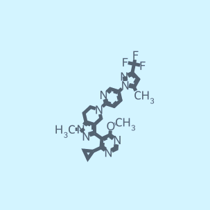 COc1ncnc(C2CC2)c1-c1nn(C)c2c1CN(c1ccc(-n3nc(C(F)(F)F)cc3C)cn1)CC2